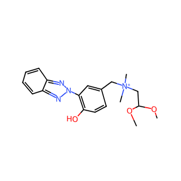 COC(C[N+](C)(C)Cc1ccc(O)c(-n2nc3ccccc3n2)c1)OC